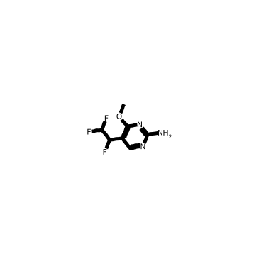 COc1nc(N)ncc1C(F)C(F)F